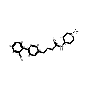 CC(=O)N1CCC(NC(=O)CCCc2ccc(-c3ccccc3F)cc2)CC1